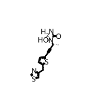 C[C@H](C#Cc1ccc(Cc2cscn2)s1)N(O)C(N)=O